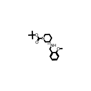 COc1ccccc1CN[C@H]1CCCN(C(=O)OC(C)(C)C)C1